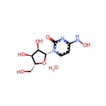 O.O=c1nc(NO)ccn1[C@@H]1O[C@H](CO)[C@@H](O)[C@H]1O